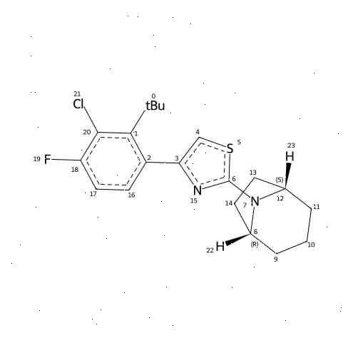 CC(C)(C)c1c(-c2csc(N3[C@@H]4CCC[C@H]3CC4)n2)ccc(F)c1Cl